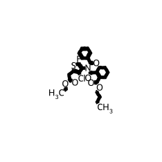 CCCCOC(=O)C1=C(C(=O)N(C(=O)c2ccccc2)c2c(F)sc(CC(=O)OCC)c2Cl)CCCC1